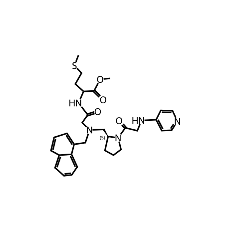 COC(=O)C(CCSC)NC(=O)CN(Cc1cccc2ccccc12)C[C@@H]1CCCN1C(=O)CNc1ccncc1